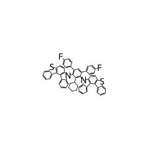 Fc1ccc(-c2cc(-c3ccc(F)cc3)c(-n3c4ccccc4c4c5c(ccc43)sc3ccccc35)c(C3CCCCC3)c2-n2c3ccccc3c3c4c(ccc32)sc2ccccc24)cc1